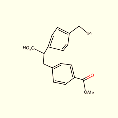 COC(=O)c1ccc(CC(C(=O)O)c2ccc(CC(C)C)cc2)cc1